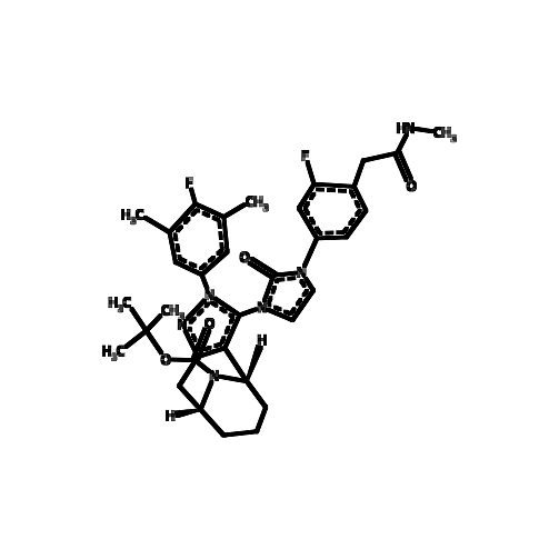 CNC(=O)Cc1ccc(-n2ccn(-c3c4c(nn3-c3cc(C)c(F)c(C)c3)C[C@H]3CCC[C@@H]4N3C(=O)OC(C)(C)C)c2=O)cc1F